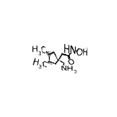 C[C@@H]1CC(CN)(CC(=O)NO)C[C@@H]1C